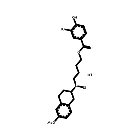 CCN(CCCCOC(=O)c1ccc(O)c(O)c1)C1CCc2cc(OC)ccc2C1.Cl